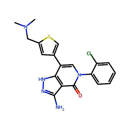 CN(C)Cc1cc(-c2cn(-c3ccccc3Cl)c(=O)c3c(N)n[nH]c23)cs1